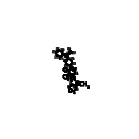 CO[C@H]1CCOC[C@@H]1CNc1cnn([C@H]2CC[C@H](N(c3ccccc3)C3CC3)CC2)c(=O)c1Cl